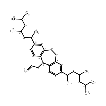 C=CCN1c2ccc(C(C)CC(C)CC(C)C)cc2CCc2cc(C(C)CC(C)CC(C)C)ccc21